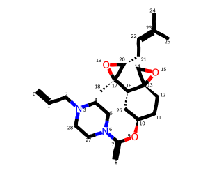 C=CCN1CCN(C(=C)O[C@@H]2CC[C@]3(CO3)[C@@H]([C@@]3(C)O[C@@H]3CC=C(C)C)C2)CC1